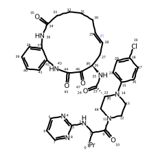 CC(C)C(Nc1ncccn1)C(=O)N1CCN(c2ccc(Cl)cc2)[C@@H](C(=O)N[C@@H]2C/C=C/CCCCC(=O)Nc3ccccc3NC(=O)C2=O)C1